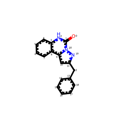 O=c1[nH]c2ccccc2c2cc(Cc3ccccc3)nn12